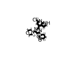 C[C@@H]1COCCN1c1cc([C@@H]2CCCS2(=O)=O)nc(-c2cc(Cl)nc3[nH]ccc23)n1